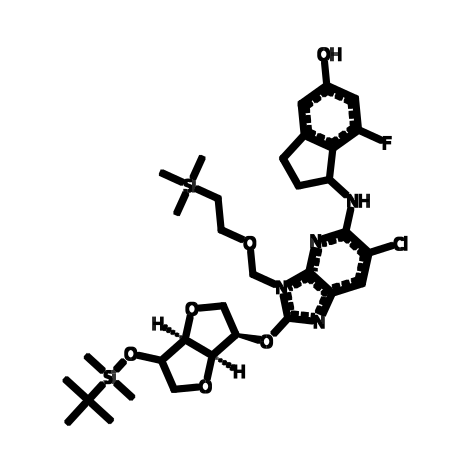 CC(C)(C)[Si](C)(C)OC1CO[C@H]2[C@@H]1OC[C@H]2Oc1nc2cc(Cl)c(NC3CCc4cc(O)cc(F)c43)nc2n1COCC[Si](C)(C)C